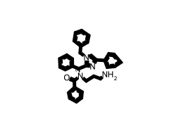 NCCCN(C(=O)c1ccccc1)[C@H](c1ccccc1)c1nc(-c2ccccc2)cn1Cc1ccccc1